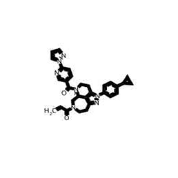 C=CC(=O)N1CCc2nn(-c3ccc(C4CC4)cc3)c3c2[C@@H](C1)N(C(=O)c1ccc(-n2cccn2)nc1)CC3